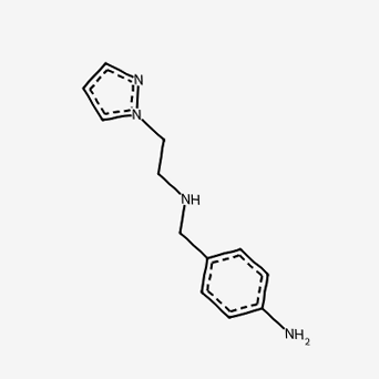 Nc1ccc(CNCCn2cccn2)cc1